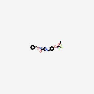 CCO/C(=C\Oc1ccc(Cn2cc(C(=O)NOCc3ccccc3)cn2)cc1)C(F)(F)F